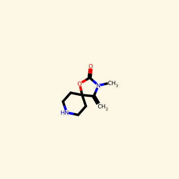 C=C1N(C)C(=O)OC12CCNCC2